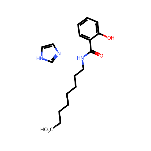 O=C(O)CCCCCCCNC(=O)c1ccccc1O.c1c[nH]cn1